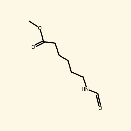 COC(=O)CCCCCNC=O